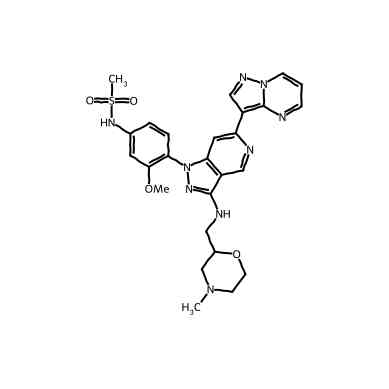 COc1cc(NS(C)(=O)=O)ccc1-n1nc(NCC2CN(C)CCO2)c2cnc(-c3cnn4cccnc34)cc21